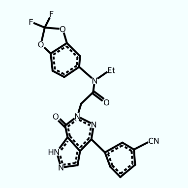 CCN(C(=O)Cn1nc(-c2cccc(C#N)c2)c2cn[nH]c2c1=O)c1ccc2c(c1)OC(F)(F)O2